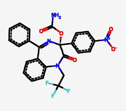 NC(=O)O[C@@]1(c2ccc([N+](=O)[O-])cc2)N=C(c2ccccc2)c2ccccc2N(CC(F)(F)F)C1=O